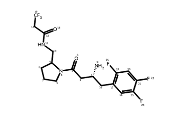 N[C@@H](CC(=O)N1CCCC1CNC(=O)CC(F)(F)F)Cc1cc(F)c(F)cc1F